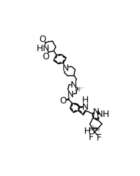 C[C@@H]1CN(C(=O)c2ccc3cc(-c4n[nH]c5c4C[C@@H]4C(F)(F)[C@]4(C)C5)[nH]c3c2)CCN1CC1CCN(c2ccc(C3CCC(=O)NC3=O)cc2)CC1